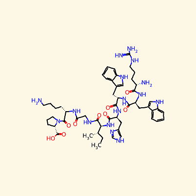 CC[C@H](C)[C@H](NC(=O)[C@H](Cc1c[nH]cn1)NC(=O)[C@H](Cc1c[nH]c2ccccc12)NC(=O)[C@H](Cc1c[nH]c2ccccc12)NC(=O)[C@@H](N)CCCNC(=N)N)C(=O)NCC(=O)N[C@@H](CCCCN)C(=O)N1CCC[C@H]1C(=O)O